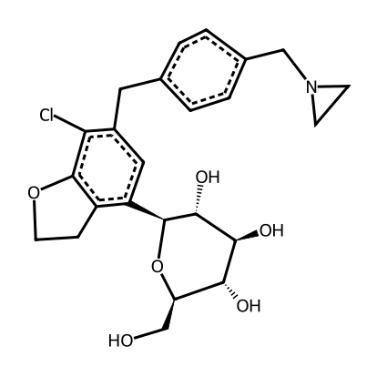 OC[C@H]1O[C@@H](c2cc(Cc3ccc(CN4CC4)cc3)c(Cl)c3c2CCO3)[C@H](O)[C@@H](O)[C@@H]1O